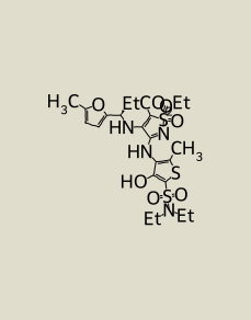 CCOC(=O)C1=C(N[C@H](CC)c2ccc(C)o2)C(Nc2c(C)sc(S(=O)(=O)N(CC)CC)c2O)=NS1(=O)=O